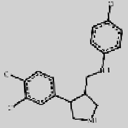 Clc1ccc(NCC2CNCC2c2ccc(Cl)c(Cl)c2)cc1